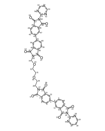 O=C1c2ccc(-c3ccc4c(c3)C(=O)N(c3ncccn3)C4=O)cc2C(=O)N1CCOCCOCN1C(=O)c2ccc(-c3ccc4c(c3)C(=O)N(c3ncccn3)C4=O)cc2C1=O